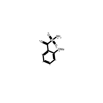 COc1ccccc1C(=O)S(N)(=O)=O